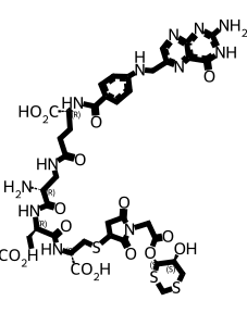 Nc1nc2ncc(CNc3ccc(C(=O)N[C@H](CCC(=O)NC[C@@H](N)C(=O)N[C@H](CC(=O)O)C(=O)N[C@H](CSC4CC(=O)N(CC(=O)O[C@H]5SCSC[C@@H]5O)C4=O)C(=O)O)C(=O)O)cc3)nc2c(=O)[nH]1